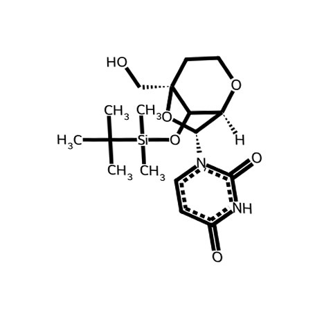 CC(C)(C)[Si](C)(C)OC1[C@H]2OCC[C@]1(CO)O[C@H]2n1ccc(=O)[nH]c1=O